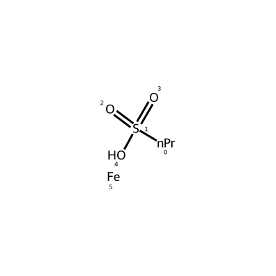 CCCS(=O)(=O)O.[Fe]